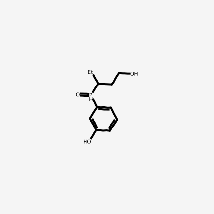 CCC(CCO)[PH](=O)c1cccc(O)c1